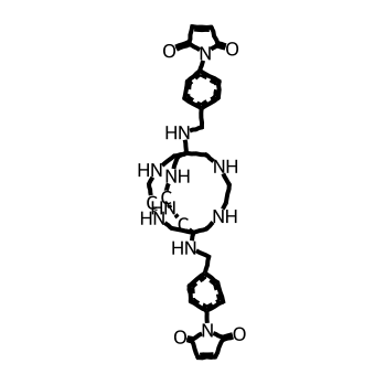 O=C1C=CC(=O)N1c1ccc(CNC23CNCCNCC(NCc4ccc(N5C(=O)C=CC5=O)cc4)(CNCCNC2)CNCCNC3)cc1